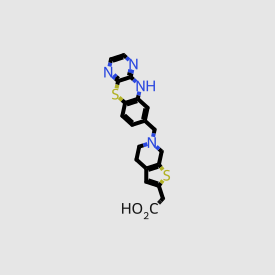 O=C(O)Cc1cc2c(s1)CN(Cc1ccc3c(c1)Nc1nccnc1S3)CC2